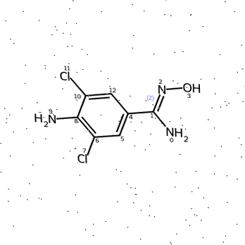 N/C(=N\O)c1cc(Cl)c(N)c(Cl)c1